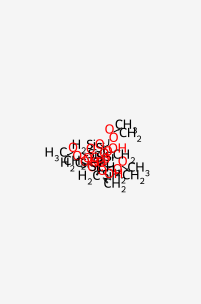 C=C[SiH2]O[Si]1(C(O)COC(=O)C(=C)C)O[Si]2(C=C)O[Si]3(C=C)O[Si](C=C)(O1)O[Si]1(C(O)COC(=O)C(=C)C)O[SiH2]O[Si](C(O)COC(=O)C(=C)C)(O2)O[Si](C=C)(O3)O1